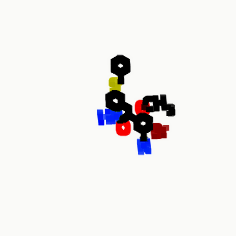 COc1cc(Br)c(C#N)cc1-c1cc2cc(SCc3ccccc3)ccc2[nH]c1=O